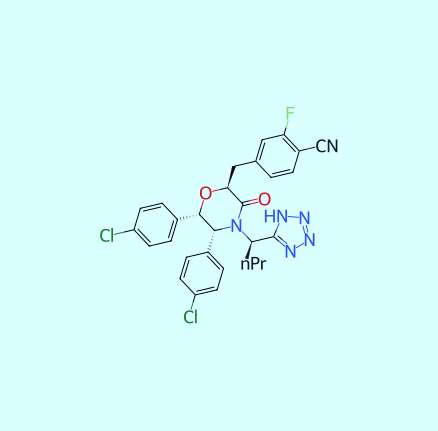 CCC[C@H](c1nnn[nH]1)N1C(=O)[C@H](Cc2ccc(C#N)c(F)c2)O[C@@H](c2ccc(Cl)cc2)[C@H]1c1ccc(Cl)cc1